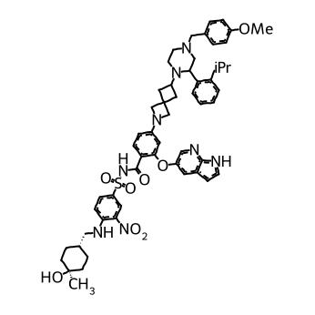 COc1ccc(CN2CCN(C3CC4(C3)CN(c3ccc(C(=O)NS(=O)(=O)c5ccc(NC[C@H]6CC[C@](C)(O)CC6)c([N+](=O)[O-])c5)c(Oc5cnc6[nH]ccc6c5)c3)C4)C(c3ccccc3C(C)C)C2)cc1